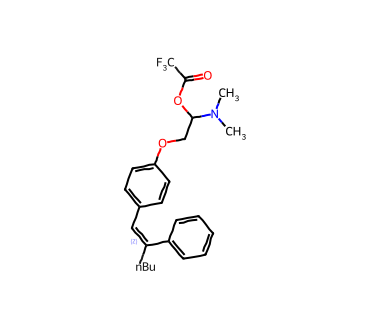 CCCC/C(=C/c1ccc(OCC(OC(=O)C(F)(F)F)N(C)C)cc1)c1ccccc1